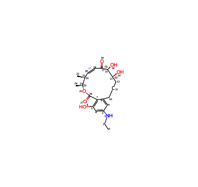 CCNc1cc(O)c2c(c1)CCC[C@H](O)[C@H](O)C(=O)/C=C\[C@H](C)[C@H](C)OC2=O